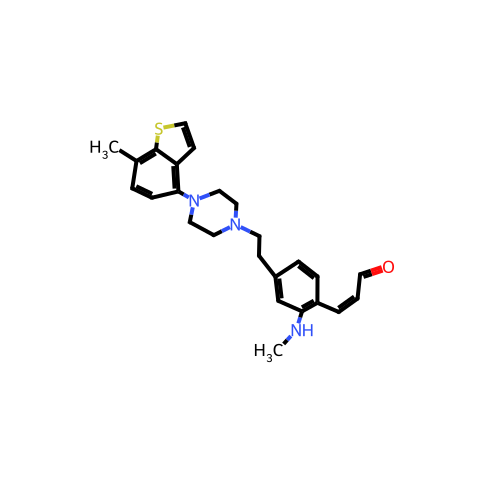 CNc1cc(CCN2CCN(c3ccc(C)c4sccc34)CC2)ccc1/C=C\C=O